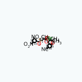 CC(CSC(=O)c1cc([N+](=O)[O-])cc([N+](=O)[O-])c1)C(=O)OC1c2cc(C#N)ccc2OC(C)(C)C1Br